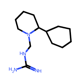 N=C(N)NCN1CCCCC1C1CCCCC1